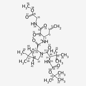 C=CCC(NC(=O)[C@@H]1[C@@H]2[C@H](CN1C(=O)[C@H](NC(=O)OC(C)(C)C)C(C)(C)C)C2(C)C)C(=O)C(=O)NCC(=O)OC